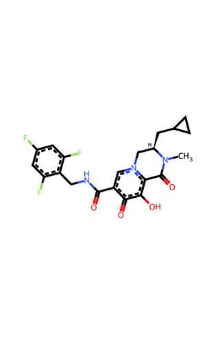 CN1C(=O)c2c(O)c(=O)c(C(=O)NCc3c(F)cc(F)cc3F)cn2C[C@H]1CC1CC1